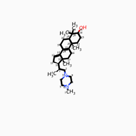 C[C@H](CN1CCN(C)CC1)[C@H]1CC=C2C3=C(CC[C@@]21C)[C@@]1(C)CCC(O)C(C)(C)C1CC3